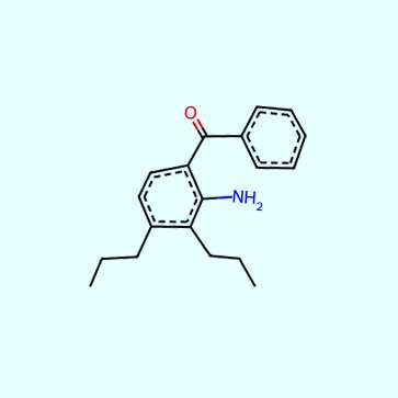 CCCc1ccc(C(=O)c2ccccc2)c(N)c1CCC